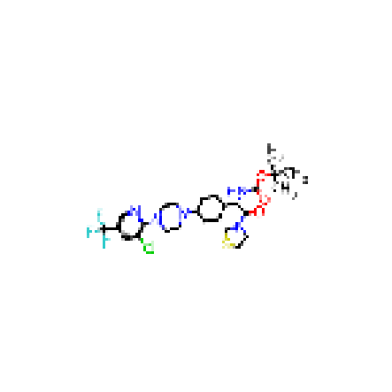 CC(C)(C)OC(=O)N[C@H](C(=O)N1CCSC1)C1CCC(N2CCN(c3ncc(C(F)(F)F)cc3Cl)CC2)CC1